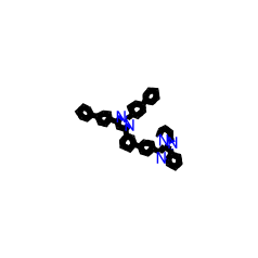 c1ccc(-c2ccc(-c3cc(-c4cccc(-c5ccc(-c6nc7ccccc7c7nc8ccccn8c67)cc5)c4)nc(-c4ccc(-c5ccccc5)cc4)n3)cc2)cc1